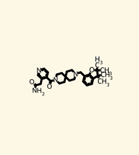 CC1(C)Oc2c(CN3CCC4(CC3)CCN(C(=O)c3ccncc3CC(N)=O)CC4)cccc2C1(C)C